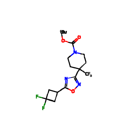 CC(C)(C)OC(=O)N1CCC(c2noc(C3CC(F)(F)C3)n2)(C(F)(F)F)CC1